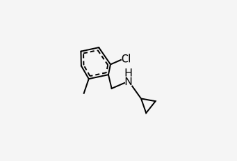 Cc1cccc(Cl)c1CNC1CC1